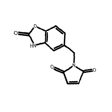 O=C1C=CC(=O)N1Cc1ccc2oc(=O)[nH]c2c1